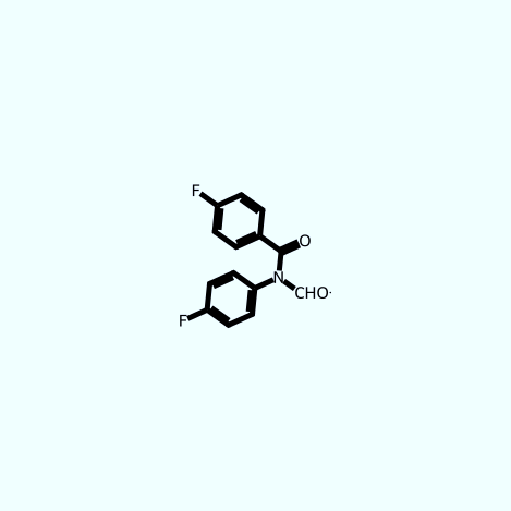 O=[C]N(C(=O)c1ccc(F)cc1)c1ccc(F)cc1